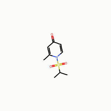 Cc1cc(=O)ccn1S(=O)(=O)C(C)C